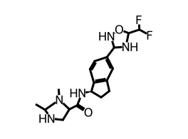 CC1NCC(C(=O)N[C@@H]2CCc3cc(C4NOC(C(F)F)N4)ccc32)N1C